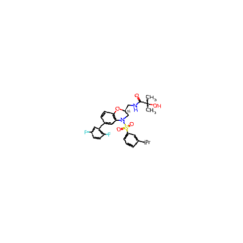 CC(C)c1cccc(S(=O)(=O)N2C[C@H](CNC(=O)C(C)(C)O)Oc3ccc(-c4cc(F)ccc4F)cc32)c1